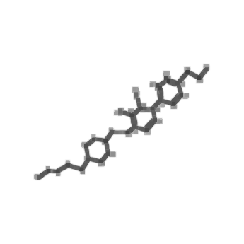 CCCCCC1CCC(CCc2ccc(-c3ccc(CCC)nn3)c(F)c2F)CC1